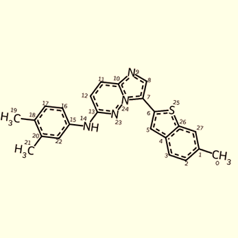 Cc1ccc2cc(-c3cnc4ccc(Nc5ccc(C)c(C)c5)nn34)sc2c1